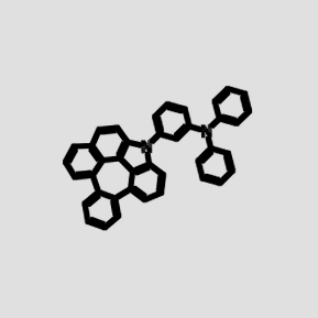 c1ccc(N(c2ccccc2)c2cccc(-n3c4cccc5c4c4c6c(cccc6ccc43)-c3ccccc3-5)c2)cc1